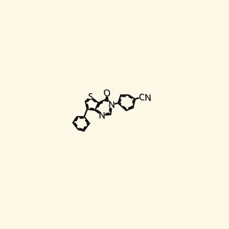 N#Cc1ccc(-n2cnc3c(-c4ccccc4)csc3c2=O)cc1